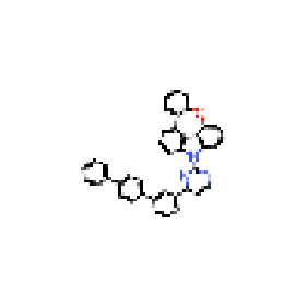 c1ccc(-c2ccc(-c3cccc(-c4ccnc(-n5c6cccc7oc8ccccc8c8cccc5c8c76)n4)c3)cc2)cc1